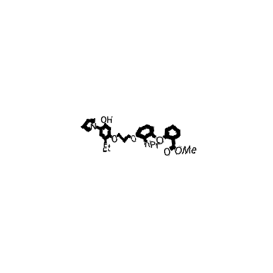 CCCc1c(OCCCOc2cc(O)c(-n3cccc3)cc2CC)cccc1Oc1ccccc1C(=O)OC